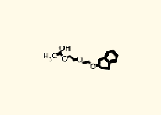 CC(O)OCCOCCOc1ccc2ccccc2c1